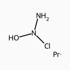 NN(O)Cl.[Pr]